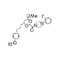 CCOc1ccc(CCCC(CC(=O)OC)OCC(=O)N2CCN(c3ccccc3F)CC2)cc1